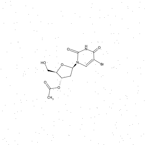 CC(=O)O[C@H]1C[C@H](n2cc(Br)c(=O)[nH]c2=O)O[C@@H]1CO